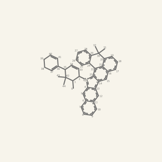 CC1C(n2c3cc4ccccc4cc3c3cc4cccc5c4c(c32)-c2ccccc2C5(C)C)C=CC(C2=CCCC=C2)C1(C)C